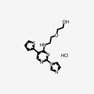 Cl.OCCOCCNc1nc(-n2ccnc2)ncc1-c1cccs1